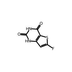 O=c1[nH]c(=O)c2sc(F)cc2[nH]1